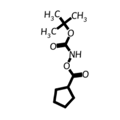 CC(C)(C)OC(=O)NOC(=O)C1CCCC1